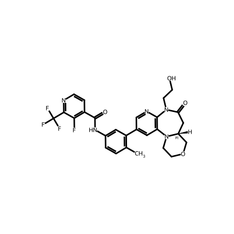 Cc1ccc(NC(=O)c2ccnc(C(F)(F)F)c2F)cc1-c1cnc2c(c1)N1CCOC[C@H]1CC(=O)N2CCO